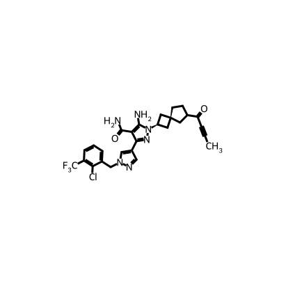 CC#CC(=O)C1CC[C@]2(C1)C[C@H](n1nc(-c3cnn(Cc4cccc(C(F)(F)F)c4Cl)c3)c(C(N)=O)c1N)C2